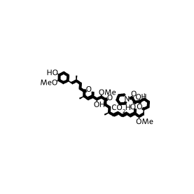 CO[C@@H](C[C@@H]1CC[C@@H](C)[C@](O)(C(=O)C(=O)N2CCCC[C@H]2C(=O)O)O1)/C(C)=C/C=C/C=C/[C@@H](C)CCC(=O)[C@H](OC)[C@H](O)/C(C)=C/[C@@H](C)C(=O)CC[C@H](C)C[C@@H]1CC[C@@H](O)[C@H](OC)C1